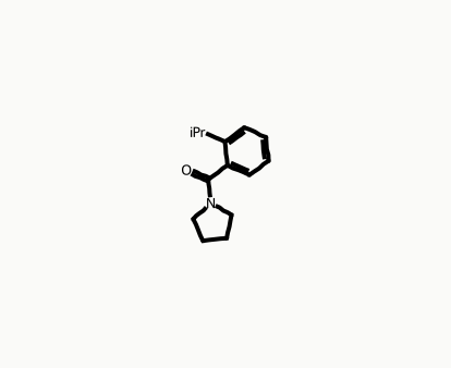 CC(C)c1ccccc1C(=O)N1CCCC1